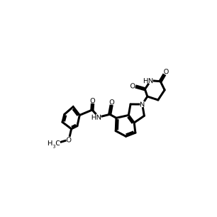 COc1cccc(C(=O)NC(=O)c2cccc3c2CN(C2CCC(=O)NC2=O)C3)c1